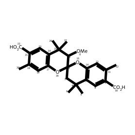 COC1C2(CC(C)(C)c3cc(C(=O)O)c(C)cc3O2)Oc2cc(C)c(C(=O)O)cc2C1(C)C